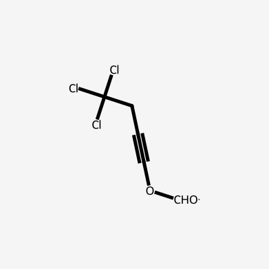 O=[C]OC#CCC(Cl)(Cl)Cl